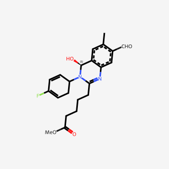 COC(=O)CCCCC1=Nc2cc(C=O)c(C)cc2[C@H](O)N1C1C=CC(F)=CC1